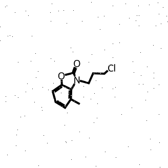 Cc1cccc2oc(=O)n(CCCCl)c12